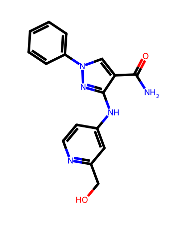 NC(=O)c1cn(-c2ccccc2)nc1Nc1ccnc(CO)c1